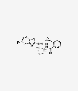 O=C(N[C@@H]1CCC[C@@H]1Nc1nc2ccc(F)cc2s1)c1ccccc1C1CC1